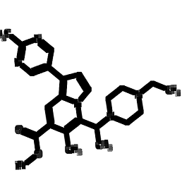 Cc1ncc(-c2ccn3c(C(C)N4CCN(CC(F)(F)F)CC4)c(C)c(C(=O)OC(C)C)cc23)cn1